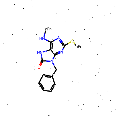 CCCNc1nc(SCCC)nc2c1[nH]c(=O)n2Cc1ccccc1